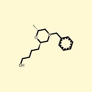 C[C@@H]1CN(Cc2ccccc2)C[C@@H](CCCCO)O1